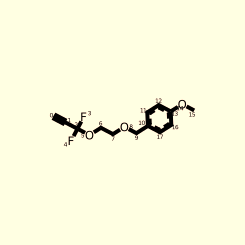 C#CC(F)(F)OCCOCc1ccc(OC)cc1